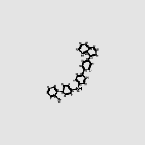 Brc1ccccc1-c1ccc(Nc2ccc(-c3ccc(-c4cccc5ccccc45)cc3)cc2)cc1